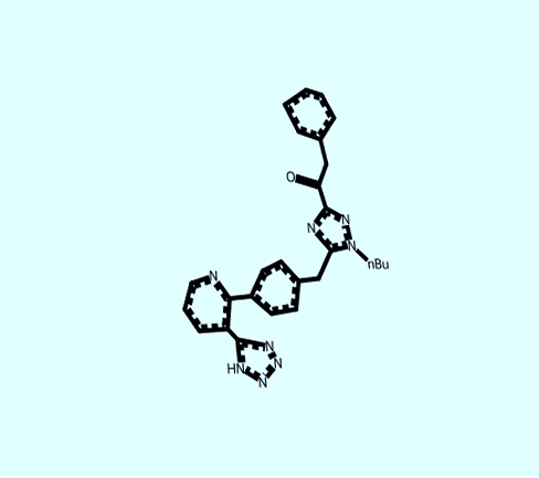 CCCCn1nc(C(=O)Cc2ccccc2)nc1Cc1ccc(-c2ncccc2-c2nnn[nH]2)cc1